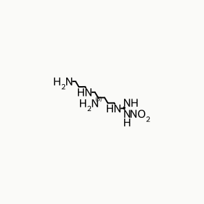 N=C(NCCC[C@H](N)CNCCCN)N[N+](=O)[O-]